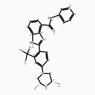 C[C@@H]1CN(c2ccc(-c3nc4c(C(=O)Nc5cccnc5)cccc4[nH]3)c(C(F)(F)F)c2)C[C@H](C)O1